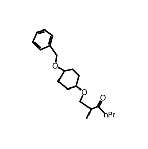 CCCC(=O)C(C)COC1CCC(OCc2ccccc2)CC1